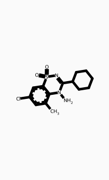 Cc1cc(Cl)cc2c1N(N)C(C1CCCCC1)=NS2(=O)=O